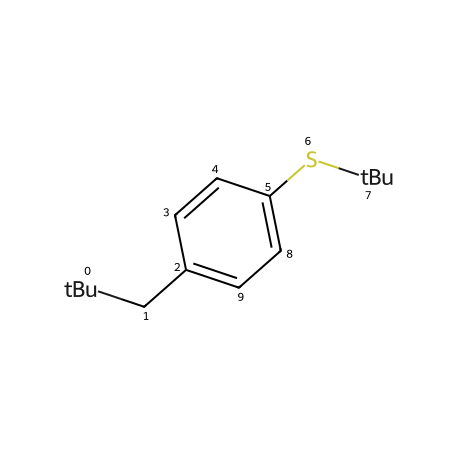 CC(C)(C)Cc1ccc(SC(C)(C)C)cc1